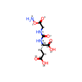 NOC(=O)CNC(=O)N[C@@H](CCC(=O)O)C(=O)O